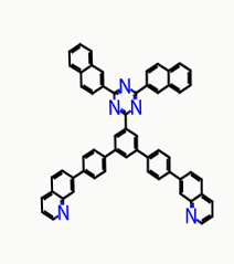 c1ccc2cc(-c3nc(-c4cc(-c5ccc(-c6ccc7cccnc7c6)cc5)cc(-c5ccc(-c6ccc7cccnc7c6)cc5)c4)nc(-c4ccc5ccccc5c4)n3)ccc2c1